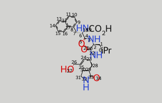 CC(C)C[C@H](NC(=O)[C@H](Cc1cccc2ccccc12)NC(=O)O)C(=O)N[C@H](/C=C/CO)C[C@@H]1CCNC1=O